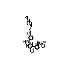 C=CC(=O)Nc1cccc(-c2nc(Nc3cccc(OCCCN4CCN(C5CC5)CC4)c3)ncc2Cl)c1